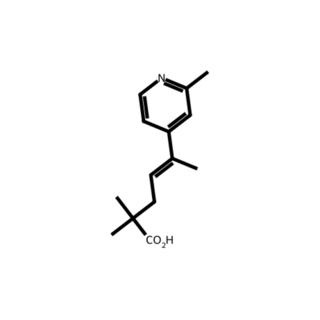 C/C(=C\CC(C)(C)C(=O)O)c1ccnc(C)c1